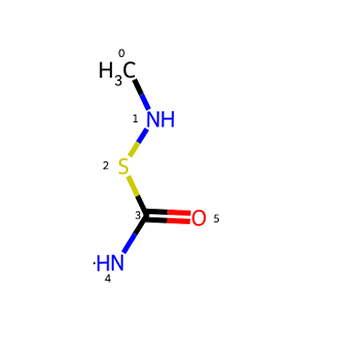 CNSC([NH])=O